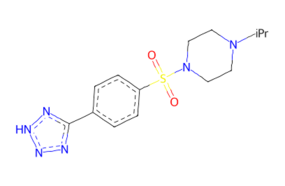 CC(C)N1CCN(S(=O)(=O)c2ccc(-c3nn[nH]n3)cc2)CC1